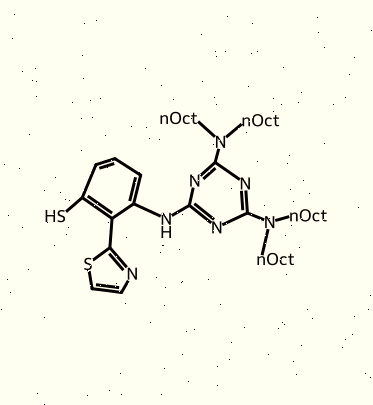 CCCCCCCCN(CCCCCCCC)c1nc(Nc2cccc(S)c2-c2nccs2)nc(N(CCCCCCCC)CCCCCCCC)n1